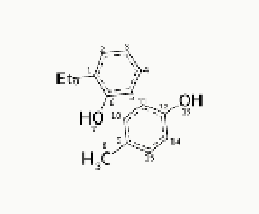 CCc1ccccc1O.Cc1ccc(O)cc1